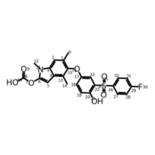 Cc1cc2c(cc(OC(=O)O)n2C)c(C)c1Oc1ccc(O)c(S(=O)(=O)c2ccc(F)cc2)c1